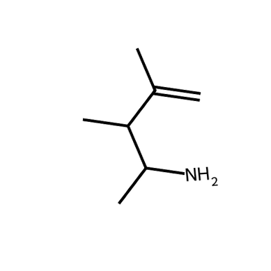 C=C(C)C(C)C(C)N